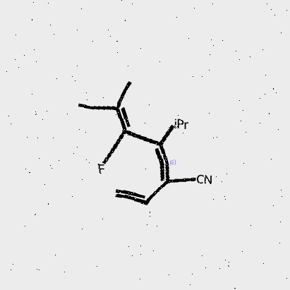 C=C/C(C#N)=C(\C(F)=C(C)C)C(C)C